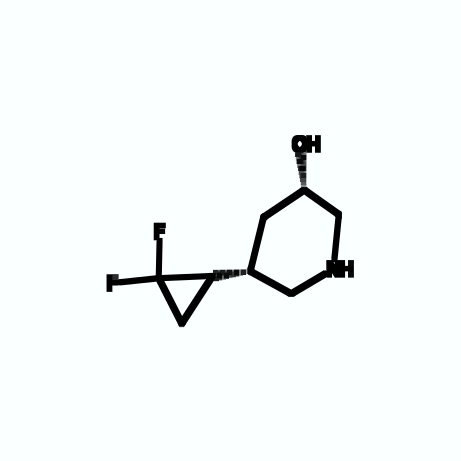 O[C@@H]1CNC[C@H](C2CC2(F)F)C1